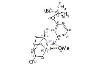 CO/C(=C1\[C@@H]2CC3C[C@H]1CC(Cl)(C3)C2)c1cccc(O[Si](C)(C)C(C)(C)C)c1